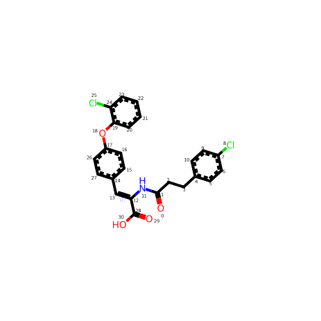 O=C(CCc1ccc(Cl)cc1)N/C(=C\c1ccc(Oc2ccccc2Cl)cc1)C(=O)O